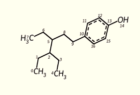 CCC(CC)C(CC)CCc1ccc(O)cc1